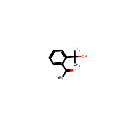 CC(C)(C)C(=O)c1ccccc1C(C)(C)O